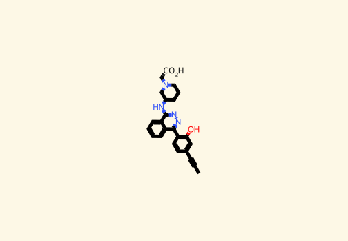 CC#Cc1ccc(-c2nnc(NC3CCCN(CC(=O)O)C3)c3ccccc23)c(O)c1